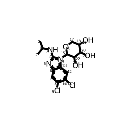 CC(C)Nc1nc2cc(Cl)c(Cl)cc2n1C1OCC(O)C(O)C1O